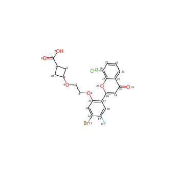 O=C(O)C1CC(OCCOc2cc(Br)c(F)cc2-c2cc(=O)c3cccc(Cl)c3o2)C1